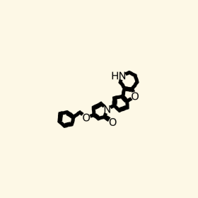 O=c1cc(OCc2ccccc2)ccn1-c1ccc2oc3c(c2c1)CNCCC3